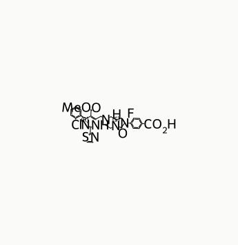 COC(=O)C1=C(CN2CCN3C(=O)N(c4ccc(C(=O)O)cc4F)C[C@@H]3C2)NC(c2nccs2)=N[C@H]1c1ccccc1Cl